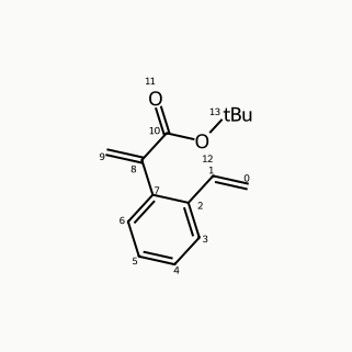 C=Cc1ccccc1C(=C)C(=O)OC(C)(C)C